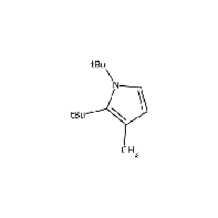 Cc1ccn(C(C)(C)C)c1C(C)(C)C